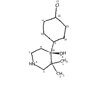 CC1(C)CNCC[C@]1(O)C1CCC(Cl)CC1